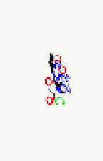 Cc1cc(Cn2c(=O)c3c(ncn3[C@@H](C)C(=O)Cl)n(C)c2=O)no1